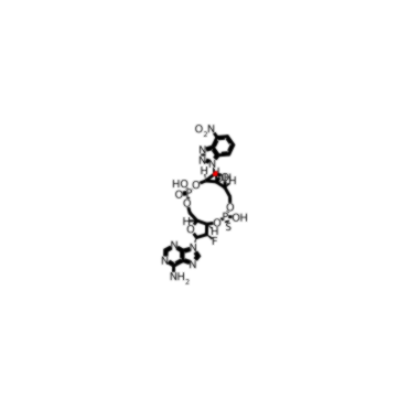 Nc1ncnc2c1ncn2[C@@H]1O[C@@H]2COP(=O)(O)O[C@@H]3[C@H](O)[C@@H](COP(O)(=S)O[C@H]2[C@H]1F)O[C@H]3n1nnc2c([N+](=O)[O-])cccc21